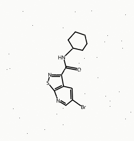 O=C(NC1CCCCC1)c1nsc2ncc(Br)cc12